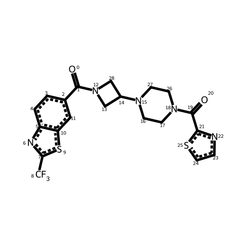 O=C(c1ccc2nc(C(F)(F)F)sc2c1)N1CC(N2CCN(C(=O)c3nccs3)CC2)C1